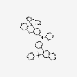 CC(C)(c1ccccc1)c1cc2ccccc2cc1-c1cccc(N(C2=CCCC=C2)c2ccc3c(c2)Sc2ccccc2C32c3ccccc3-c3ccccc32)c1